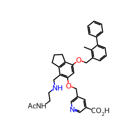 CC(=O)NCCNCc1c(OCc2cncc(C(=O)O)c2)cc(OCc2cccc(-c3ccccc3)c2C)c2c1CCC2